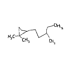 CCC(C)CCC1[CH]C1(C)C